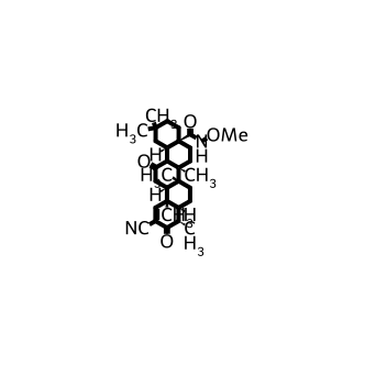 CONC(=O)[C@]12CCC(C)(C)C[C@@H]1C1C(=O)C[C@@H]3[C@@]4(C)C=C(C#N)C(=O)[C@@H](C)[C@@H]4CC[C@@]3(C)[C@]1(C)CC2